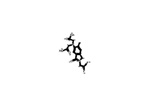 Cc1cc2c(cc1N(CC(=O)O)CC(=O)O)C(=O)N(CC(F)F)C2